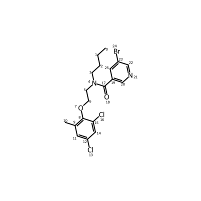 CCCCN(CCOc1c(C)cc(Cl)cc1Cl)C(=O)c1cncc(Br)c1